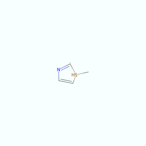 C[SH]1[C]=NC=C1